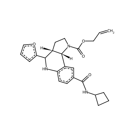 C=CCOC(=O)N1CC[C@H]2C(c3ccco3)Nc3ccc(C(=O)NC4CCC4)cc3[C@H]21